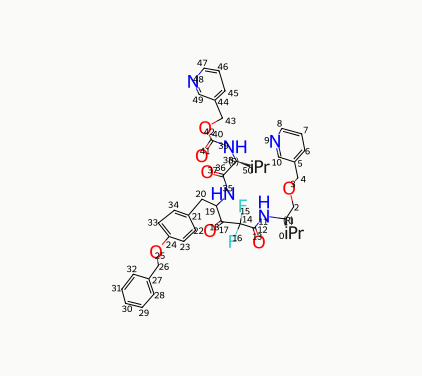 CC(C)[C@H](COCc1cccnc1)NC(=O)C(F)(F)C(=O)C(Cc1ccc(OCc2ccccc2)cc1)NC(=O)[C@@H](NC(=O)OCc1cccnc1)C(C)C